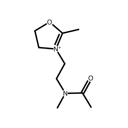 CC(=O)N(C)CC[N+]1=C(C)OCC1